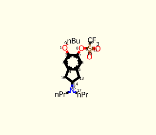 CCCCOc1cc2c(cc1OS(=O)(=O)C(F)(F)F)CC(N(CCC)CCC)C2